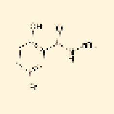 CCCCNC(=O)c1cc(C(C)C)ccc1O